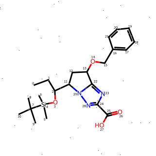 CCC(O[Si](C)(C)C(C)(C)C)C1CC(OCc2ccccc2)c2nc(C(=O)O)nn21